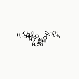 Cc1c(NC(=O)c2ccc(C(C)(C)C)cc2)cccc1-c1cn(C)c(=O)c(Nc2ccc(C(=O)N3CCC(C)(C)CC3)cc2)n1